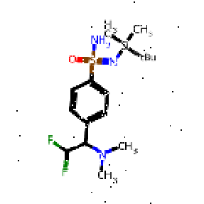 CN(C)C(c1ccc(S(N)(=O)=N[Si](C)(C)C(C)(C)C)cc1)C(F)F